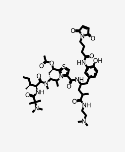 CC[C@H](C)[C@H](NC(=O)C(C)(C)N(C)C)C(=O)N(C)[C@H](C[C@@H](OC(C)=O)c1nc(C(=O)NC(Cc2ccc(O)c(NC(=O)CCCN3C(=O)C=CC3=O)c2)CC(C)C(=O)NCCN(C)C)cs1)C(C)C